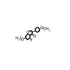 COc1ccc(-c2coc3cc(OC)cc(F)c3c2=O)cc1